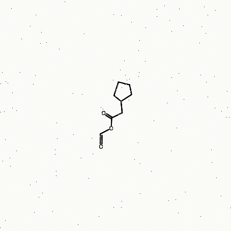 O=COC(=O)CC1CCCC1